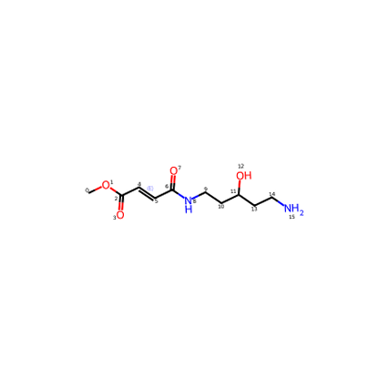 COC(=O)/C=C/C(=O)NCCC(O)CCN